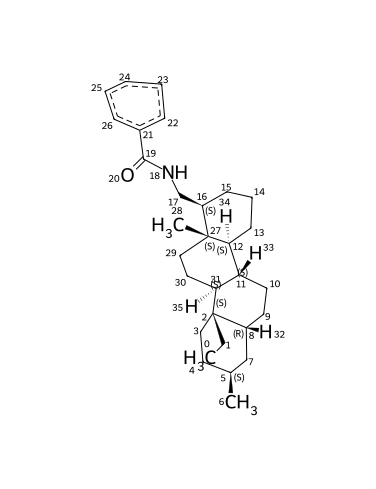 CC[C@]12CC[C@H](C)C[C@H]1CC[C@H]1[C@@H]3CCC[C@H](CNC(=O)c4ccccc4)[C@@]3(C)CC[C@@H]12